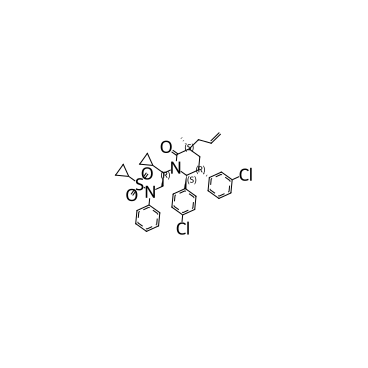 C=CC[C@@]1(C)C[C@H](c2cccc(Cl)c2)[C@@H](c2ccc(Cl)cc2)N([C@@H](CN(c2ccccc2)S(=O)(=O)C2CC2)C2CC2)C1=O